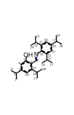 CC(C)c1cc(O)c(/C=N/c2c(C(C)C)cc(C(C)C)cc2C(C)C)c(C(C)C)c1